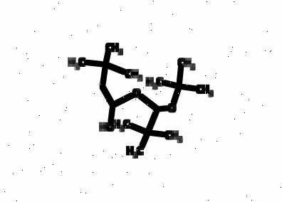 CC(C)(C)CC(O)OC(OC(C)(C)C)C(C)(C)C